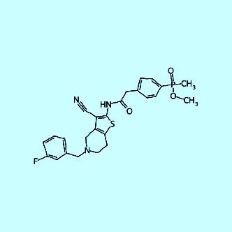 COP(C)(=O)c1ccc(CC(=O)Nc2sc3c(c2C#N)CN(Cc2cccc(F)c2)CC3)cc1